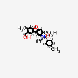 Cc1cc2oc3cc(C(=O)O)c(N(C(=O)[C@H]4CC[C@H](C)CC4)C(C)C)cc3c2cc1CO